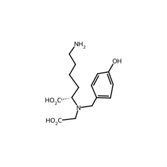 NCCCC[C@@H](C(=O)O)N(CC(=O)O)Cc1ccc(O)cc1